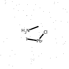 CN.[Cl][Pb][I]